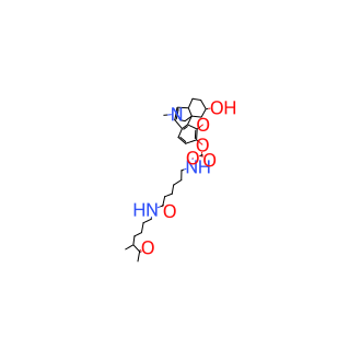 CC(=O)C(C)CCCCNC(=O)CCCCCNOC(=O)Oc1ccc2c3c1OC1C(O)CCC4C(=C2)N(C)CCC341